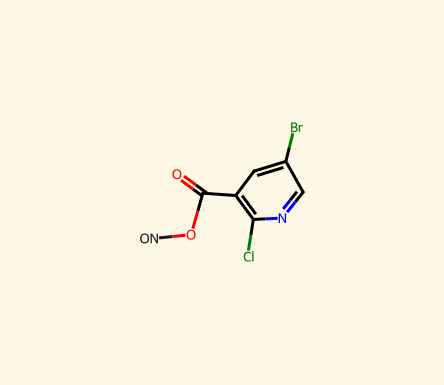 O=NOC(=O)c1cc(Br)cnc1Cl